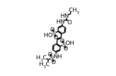 CCNC(=O)Nc1ccc(/C=C/c2ccc(NS(=O)(=O)C(C)C)cc2S(=O)(=O)O)c(S(=O)(=O)O)c1